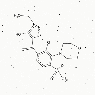 CCn1ncc(C(=O)c2ccc(S(C)(=O)=O)c(N3CCOCC3)c2Cl)c1O